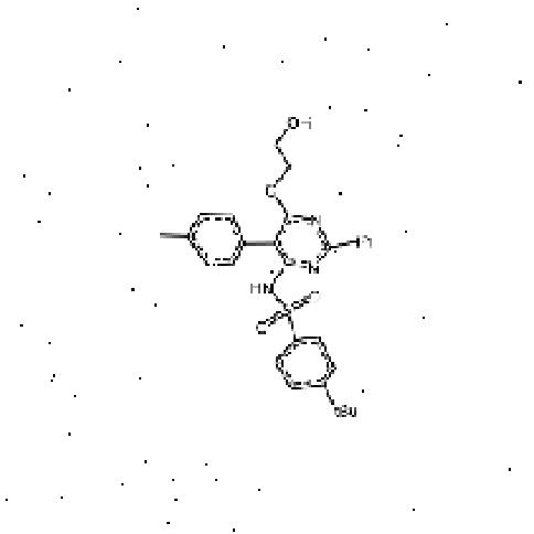 Cc1ccc(-c2c(NS(=O)(=O)c3ccc(C(C)(C)C)cc3)nc(C(C)C)nc2OCCO)cc1